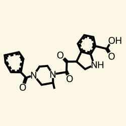 CC1CN(C(=O)c2ccccc2)CCN1C(=O)C(=O)C1CNc2c(C(=O)O)cccc21